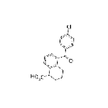 O=C(c1ccc(Cl)cc1)c1cccc2c1CCCC2C(=O)O